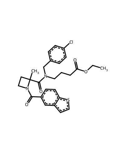 CCOC(=O)CCCN(Cc1ccc(Cl)cc1)C(=O)C1(C)CCN1C(=O)c1ccc2sccc2c1